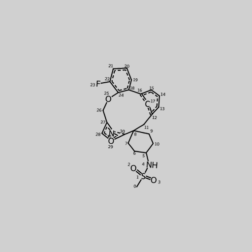 CS(=O)(=O)NC1CCC2(CC1)Cc1cccc(c1)-c1cccc(F)c1OCc1coc2n1